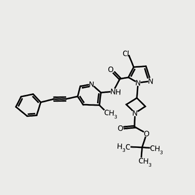 Cc1cc(C#Cc2ccccc2)cnc1NC(=O)c1c(Cl)cnn1C1CN(C(=O)OC(C)(C)C)C1